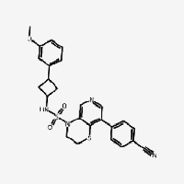 COc1cccc(C2CC(NS(=O)(=O)N3CCSc4c(-c5ccc(C#N)cc5)cncc43)C2)c1